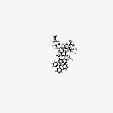 Cc1ccc2c(c(C3CC3)nn2C(c2ccccc2)(c2ccccc2)c2ccccc2)c1-c1c(Cl)cc2c(N3C[C@@](C)(C(C)(C)C)N(C(=O)O)C[C@@H]3C)nc(NC3CCN(C4CC4)CC3)nc2c1F